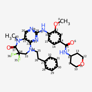 COc1cc(C(=O)NC2CCOCC2)ccc1Nc1ncc2c(n1)N(CCc1ccccc1)CC(F)(F)C(=O)N2C